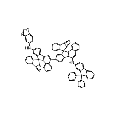 c1ccc(C2(c3ccccc3)c3ccccc3-c3ccc(Nc4cc5ccccc5c5c4-c4ccc(-c6cc7c(c8ccccc68)C6(c8ccccc8-c8ccccc86)c6cc(Nc8ccc9ocnc9c8)ccc6-7)cc4C54c5ccccc5-c5ccccc54)cc32)cc1